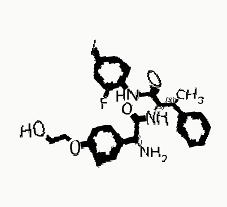 C[C@@H](c1ccccc1)[C@H](NC(=O)[C@H](N)c1ccc(OCCO)cc1)C(=O)Nc1ccc(I)cc1F